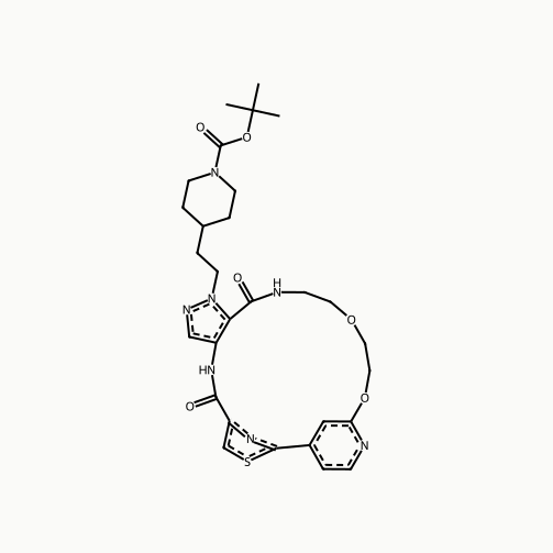 CC(C)(C)OC(=O)N1CCC(CCn2ncc3c2C(=O)NCCOCCOc2cc(ccn2)-c2nc(cs2)C(=O)N3)CC1